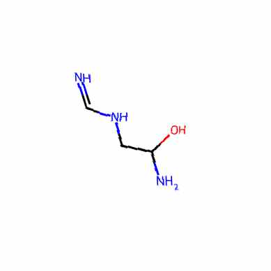 N=CNCC(N)O